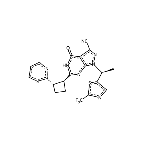 C[C@@H](c1cnc(C(F)(F)F)s1)n1nc(C#N)c2c(=O)[nH]c([C@H]3CC[C@@H]3c3ncccn3)nc21